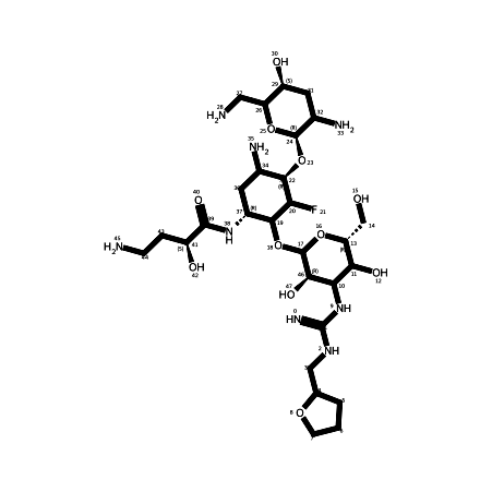 N=C(NCC1CCCO1)NC1C(O)[C@@H](CO)OC(OC2C(F)[C@H](O[C@H]3OC(CN)[C@@H](O)CC3N)C(N)C[C@H]2NC(=O)[C@@H](O)CCN)[C@@H]1O